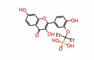 CCC(CC)(Oc1cc(-c2oc3cc(O)ccc3c(=O)c2O)ccc1O)P(=O)(O)O